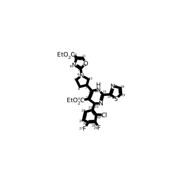 CCOC(=O)C1=C(C2CCN(c3nc(C(=O)OCC)co3)C2)NC(c2nccs2)=NC1c1ccc(F)c(F)c1Cl